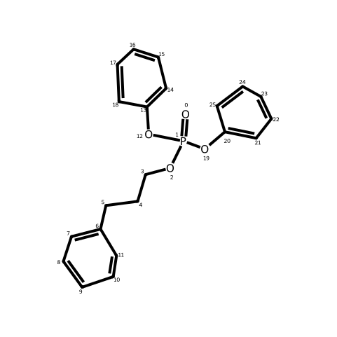 O=P(OCCCc1ccccc1)(Oc1ccccc1)Oc1ccccc1